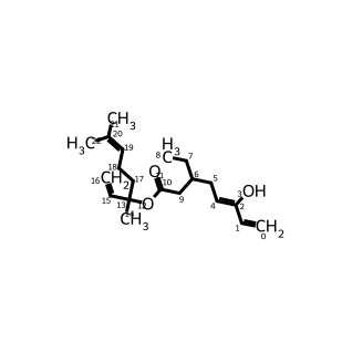 C=CC(O)=CCC(CC)CC(=O)OC(C)(C=C)CCC=C(C)C